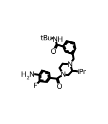 CC(C)C1CN(C(=O)c2ccc(N)c(F)c2)CCN1Cc1cccc(C(=O)NC(C)(C)C)c1